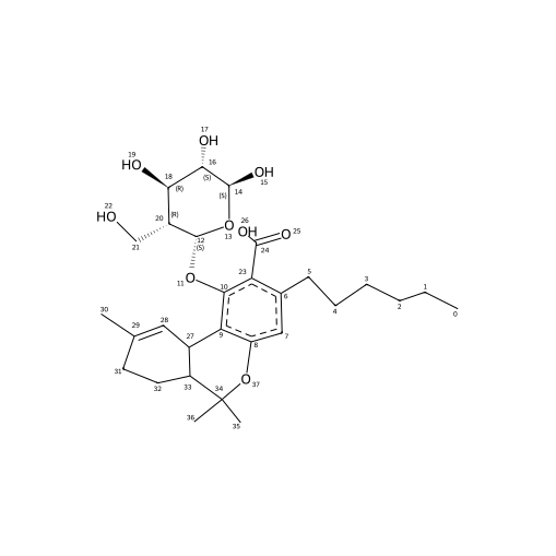 CCCCCCc1cc2c(c(O[C@H]3O[C@H](O)[C@@H](O)[C@H](O)[C@H]3CO)c1C(=O)O)C1C=C(C)CCC1C(C)(C)O2